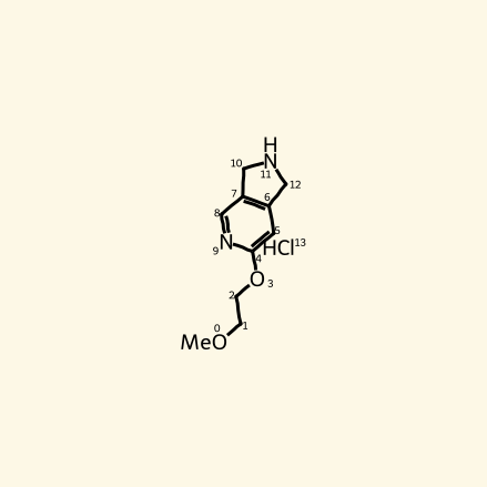 COCCOc1cc2c(cn1)CNC2.Cl